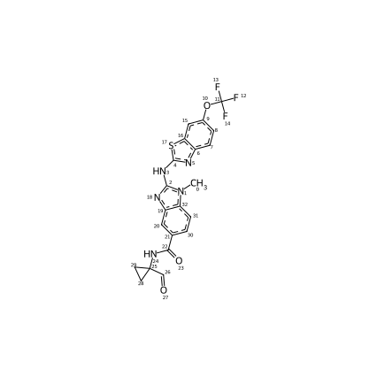 Cn1c(Nc2nc3ccc(OC(F)(F)F)cc3s2)nc2cc(C(=O)NC3(C=O)CC3)ccc21